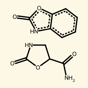 NC(=O)C1CNC(=O)O1.O=c1[nH]c2ccccc2o1